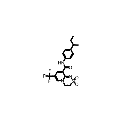 CCC(C)c1ccc(NC(=O)C2=CC(C(F)(F)F)=CN3CCS(=O)(=O)N=C23)cc1